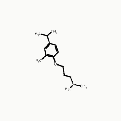 Cc1cc(C(C)C)ccc1OCCCN(C)C